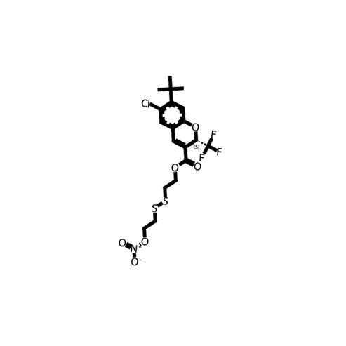 CC(C)(C)c1cc2c(cc1Cl)C=C(C(=O)OCCSSCCO[N+](=O)[O-])[C@@H](C(F)(F)F)O2